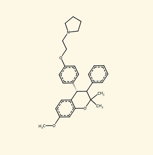 COc1ccc2c(c1)OC(C)(C)C(c1ccccc1)[C@H]2c1ccc(OCCN2CCCC2)cc1